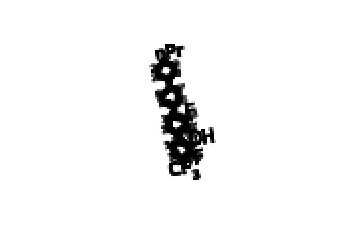 CCCC1CCC(C2CC=C(c3ccc(-c4ccc(C(F)(F)F)c(F)c4O)c(F)c3F)CC2)CC1